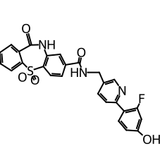 O=C(NCc1ccc(-c2ccc(O)cc2F)nc1)c1ccc2c(c1)NC(=O)c1ccccc1S2(=O)=O